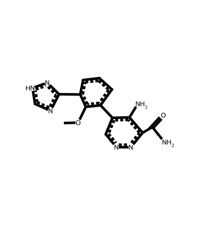 COc1c(-c2nc[nH]n2)cccc1-c1cnnc(C(N)=O)c1N